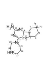 CC1(C)CCC2=C(C1)C1N=C(N)N=C(N3CCCNCC3)C1S2